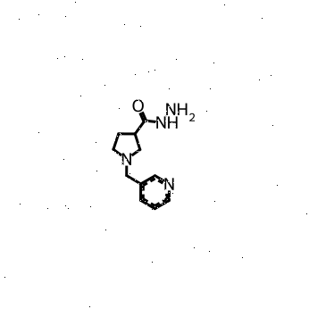 NNC(=O)C1CCN(Cc2cccnc2)C1